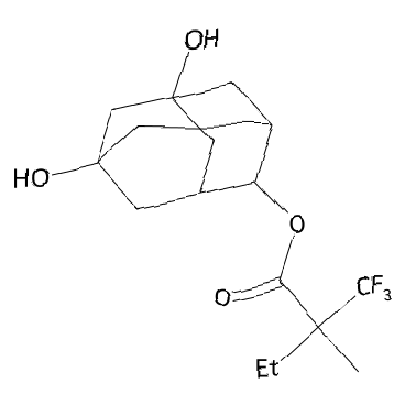 CCC(C)(C(=O)OC1C2CC3(O)CC1CC(O)(C2)C3)C(F)(F)F